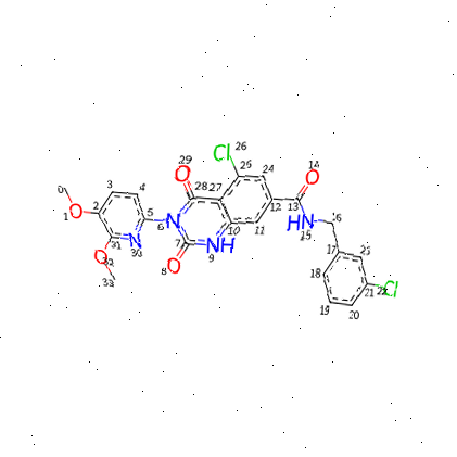 COc1ccc(-n2c(=O)[nH]c3cc(C(=O)NCc4cccc(Cl)c4)cc(Cl)c3c2=O)nc1OC